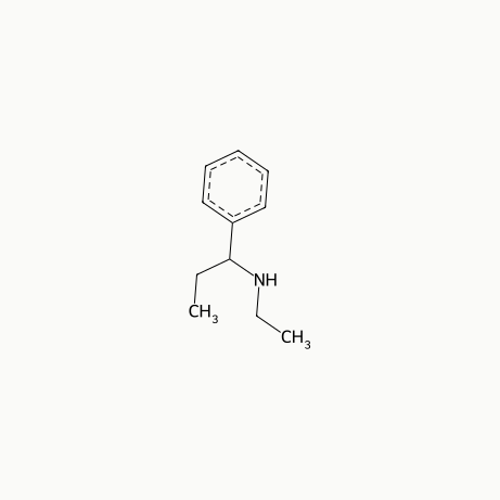 CCNC(CC)c1ccccc1